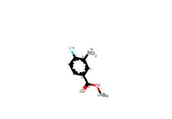 CCCCOC(=O)c1ccc(F)c([N+](=O)[O-])c1